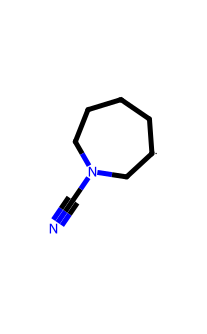 N#CN1C[CH]CCCC1